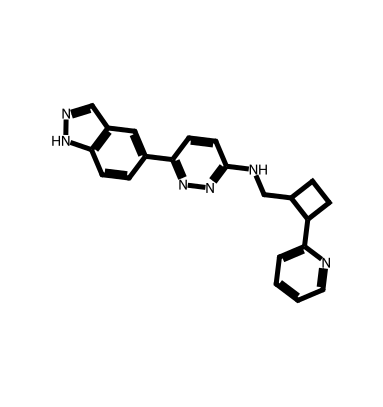 c1ccc(C2CCC2CNc2ccc(-c3ccc4[nH]ncc4c3)nn2)nc1